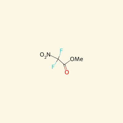 COC(=O)C(F)(F)[N+](=O)[O-]